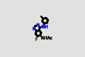 CC(=O)Nc1cc2c(Nc3cccc(C)c3)ncnc2cc1F